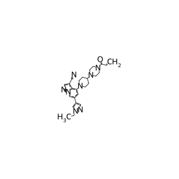 C=CC(=O)N1CCN(C2CCN(c3cc(-c4cnn(CC)c4)cn4ncc(C#N)c34)CC2)CC1